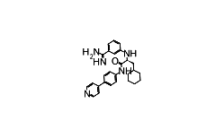 N=C(N)c1cccc(N[C@@H](CC2CCCCC2)C(=O)Nc2ccc(-c3ccncc3)cc2)c1